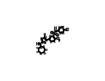 COc1ccc(-c2sc(NC3CCCCCC3)nc2C)cc1S(=O)(=O)Nc1ccc(Cl)nc1